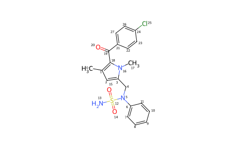 Cc1cc(CN(c2ccccc2)S(N)(=O)=O)n(C)c1C(=O)c1ccc(Cl)cc1